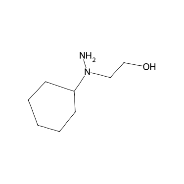 NN(CCO)C1CCCCC1